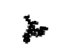 CCCCN(CCCN(C)C)C(=O)CN1C[C@H](c2ccc3c(c2)OCO3)[C@@H](C(=O)O)[C@@H]1CCCc1ccccc1OC